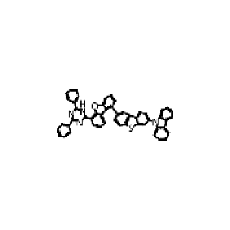 c1ccc(C2=NC(c3cccc4c3oc3cccc(-c5ccc6sc7cc(-n8c9ccccc9c9ccccc98)ccc7c6c5)c34)NC(c3ccccc3)=N2)cc1